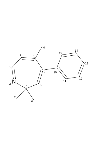 CC1=CC=NC(C)(C)C=C1c1ccccc1